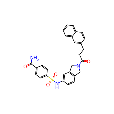 NC(=O)c1ccc(S(=O)(=O)Nc2ccc3c(c2)CN(C(=O)[CH]Cc2ccc4ccccc4c2)C3)cc1